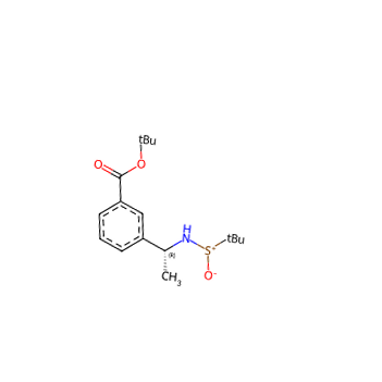 C[C@@H](N[S+]([O-])C(C)(C)C)c1cccc(C(=O)OC(C)(C)C)c1